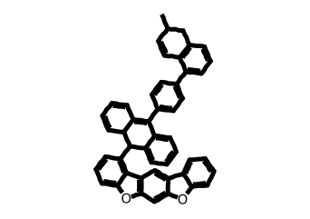 CC1C=Cc2c(cccc2-c2ccc(C3=C4C=CC=CC4C(c4cccc5oc6cc7oc8ccccc8c7cc6c45)c4ccccc43)cc2)C1